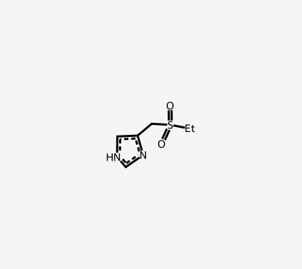 CCS(=O)(=O)Cc1c[nH]cn1